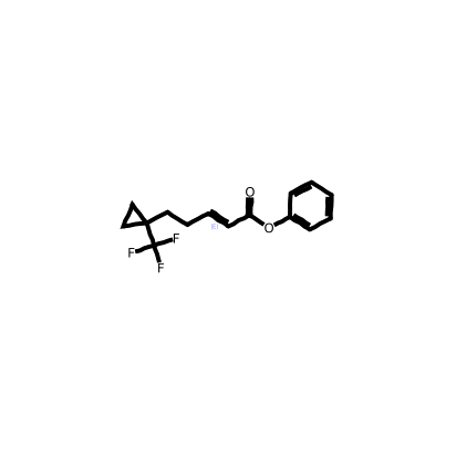 O=C(/C=C/CCC1(C(F)(F)F)CC1)Oc1ccccc1